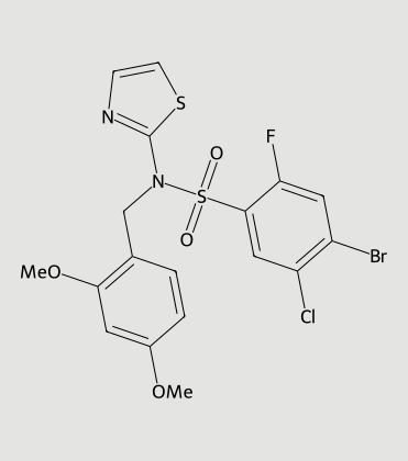 COc1ccc(CN(c2nccs2)S(=O)(=O)c2cc(Cl)c(Br)cc2F)c(OC)c1